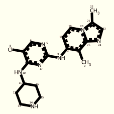 Cc1c(Nc2ncc(Cl)c(NC3CCNCC3)n2)ccn2c(C)cnc12